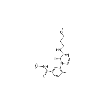 COCCCNc1nccn(-c2cc(C(=O)NC3CC3)ccc2C)c1=O